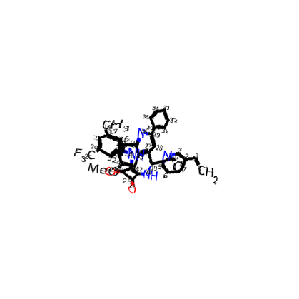 C=CC1CN2CCC1CC2[C@@H](Nc1c(Nc2cc(C)cc(C(F)(F)F)c2)c(=O)c1=O)c1cc(-c2ccccc2)nc2ccc(OC)cc12